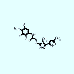 Cc1cc(-c2nnc(SCC(=O)Nc3cc(F)c(C)c(F)c3F)n2C)no1